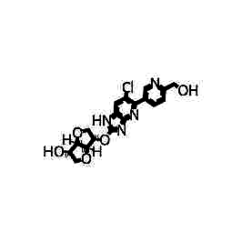 OCc1ccc(-c2nc3nc(O[C@@H]4CO[C@H]5[C@@H]4OC[C@H]5O)[nH]c3cc2Cl)cn1